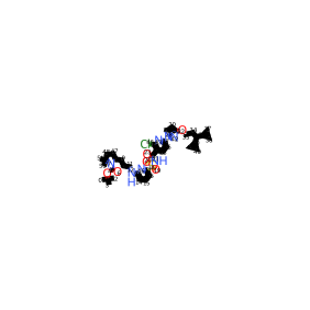 CC(C)(C)OC(=O)N1C(CCCNc2cccc(S(=O)(=O)NC(=O)c3ccc(-n4ccc(OCCC(C5CC5)C5CC5)n4)nc3Cl)n2)CCC1(C)C